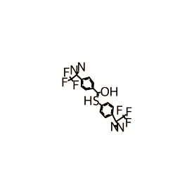 OC(=[SH]c1ccc(C2(C(F)(F)F)N=N2)cc1)c1ccc(C2(C(F)(F)F)N=N2)cc1